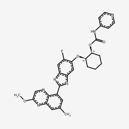 COc1cnc2c(-c3nc4cc(F)c(O[C@@H]5CCCC[C@@H]5OC(=O)Nc5ccncc5)cc4s3)cc(C)cc2n1